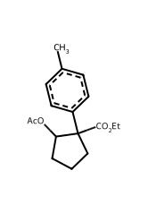 CCOC(=O)C1(c2ccc(C)cc2)CCCC1OC(C)=O